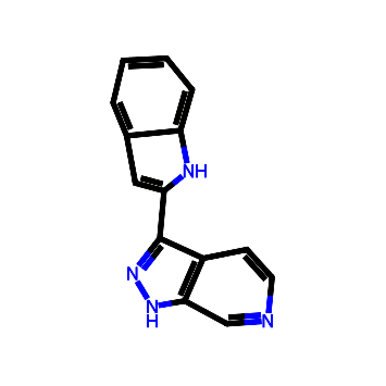 c1ccc2[nH]c(-c3n[nH]c4cnccc34)cc2c1